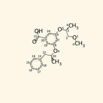 COC[C@H](C)Oc1cc(O[C@@H](C)Cc2ccccc2)cc(C(=O)O)c1